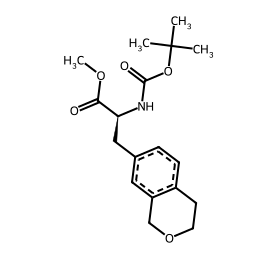 COC(=O)[C@H](Cc1ccc2c(c1)COCC2)NC(=O)OC(C)(C)C